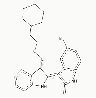 C=c1[nH]c2ccc(Br)cc2/c1=C1/Nc2ccccc2/C1=N\OCCN1CCCCC1